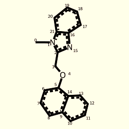 Cn1c(COc2cccc3ccccc23)nc2ccccc21